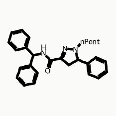 CCCCCN1N=C(C(=O)NC(c2ccccc2)c2ccccc2)CC1c1ccccc1